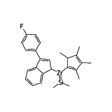 CC1=C(C)C(C)[C]([Zr]([CH]2C=C(c3ccc(F)cc3)c3ccccc32)=[Si](C)C)=C1C